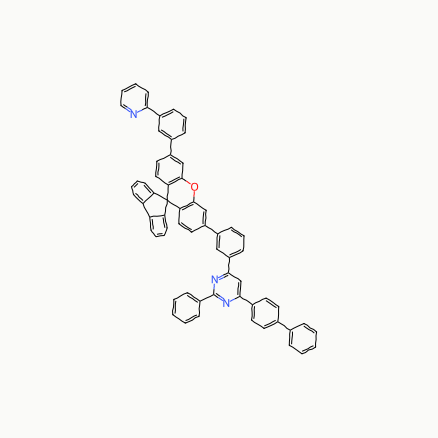 c1ccc(-c2ccc(-c3cc(-c4cccc(-c5ccc6c(c5)Oc5cc(-c7cccc(-c8ccccn8)c7)ccc5C65c6ccccc6-c6ccccc65)c4)nc(-c4ccccc4)n3)cc2)cc1